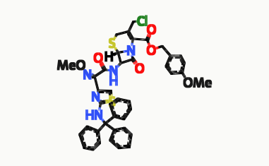 CO/N=C(\C(=O)NC1C(=O)N2C(C(=O)OCc3ccc(OC)cc3)=C(CCl)CS[C@@H]12)c1csc(NC(c2ccccc2)(c2ccccc2)c2ccccc2)n1